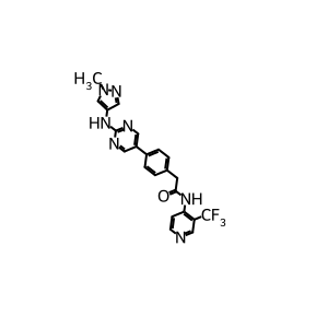 Cn1cc(Nc2ncc(-c3ccc(CC(=O)Nc4ccncc4C(F)(F)F)cc3)cn2)cn1